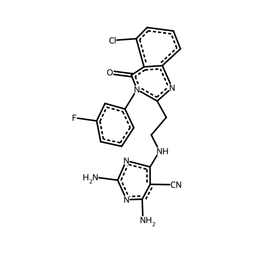 N#Cc1c(N)nc(N)nc1NCCc1nc2cccc(Cl)c2c(=O)n1-c1cccc(F)c1